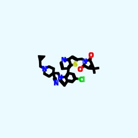 CC1(C)C2C(=O)N(Cc3cc4nccc(-c5cc(Cl)cc6ccn(CC7(C#N)CCN(CC8CC8)CC7)c56)c4s3)C(=O)C21